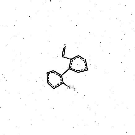 Nc1ccccc1-c1ccccc1C=S